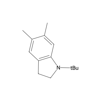 Cc1cc2c(cc1C)N(C(C)(C)C)CC2